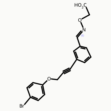 O=C(O)CO/N=C/c1cccc(C#CCOc2ccc(Br)cc2)c1